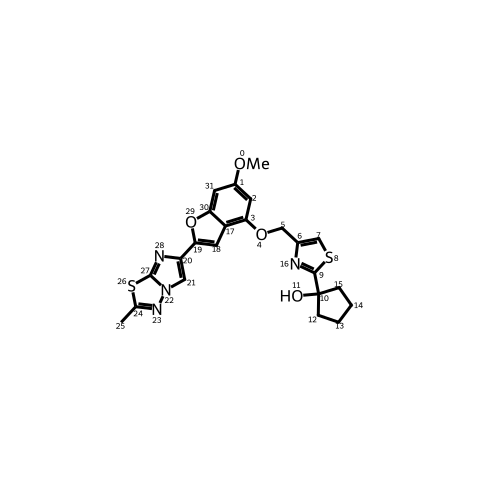 COc1cc(OCc2csc(C3(O)CCCC3)n2)c2cc(-c3cn4nc(C)sc4n3)oc2c1